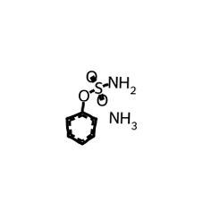 N.NS(=O)(=O)Oc1ccccc1